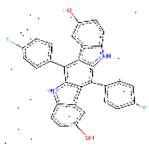 Oc1ccc2[nH]c3c(-c4ccc(F)cc4)c4c([nH]c5ccc(O)cc54)c(-c4ccc(F)cc4)c3c2c1